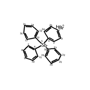 Br.c1cc[c]([Sb]([c]2ccccc2)([c]2ccccc2)[c]2ccccc2)cc1